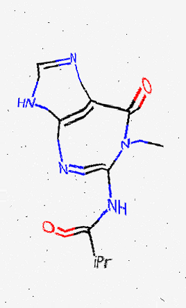 CC(C)C(=O)Nc1nc2[nH]cnc2c(=O)n1C